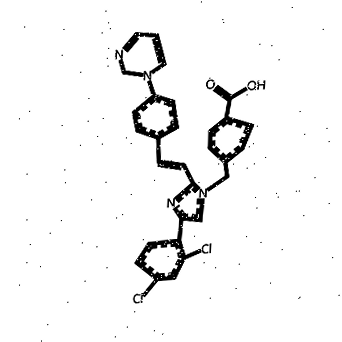 O=C(O)c1ccc(Cn2cc(-c3ccc(Cl)cc3Cl)nc2C=Cc2ccc(N3C=CC=NC3)cc2)cc1